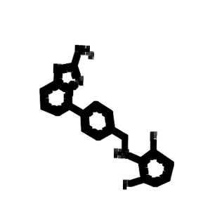 Nc1nc2cccc(-c3ccc(CNc4c(F)cccc4F)cc3)n2n1